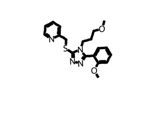 COCCCn1c(SCc2ccccn2)nnc1-c1ccccc1OC